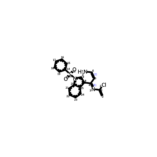 C=C(Cl)/N=C(\C=C/N)c1cn(S(=O)(=O)c2ccccc2)c2ccccc12